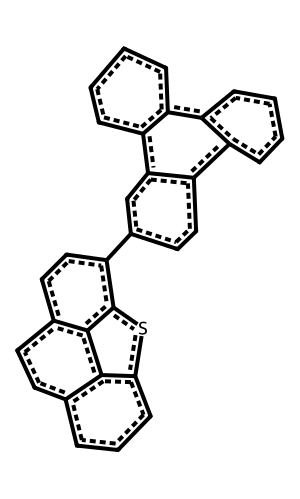 c1cc2ccc3ccc(-c4ccc5c6ccccc6c6ccccc6c5c4)c4sc(c1)c2c34